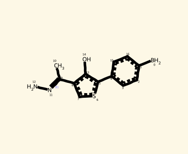 Bc1ccc(-c2scc(/C(C)=N/N)c2O)cc1